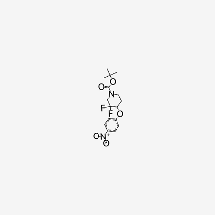 CC(C)(C)OC(=O)N1CCC(Oc2ccc([N+](=O)[O-])cc2)C(F)(F)C1